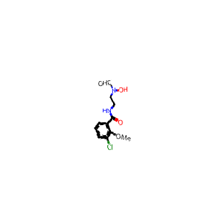 COc1c(Cl)cccc1C(=O)NCCN(O)C=O